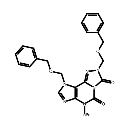 CCCn1c(=O)n2c(=O)n(COCc3ccccc3)nc2c2c1ncn2COCc1ccccc1